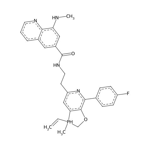 C=C[PH]1(C)COc2c1cc(CCNC(=O)c1cc(NC)c3ncccc3c1)nc2-c1ccc(F)cc1